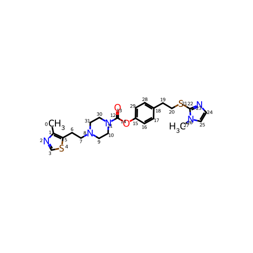 Cc1ncsc1CCN1CCN(C(=O)Oc2ccc(CCSc3nccn3C)cc2)CC1